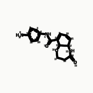 Nc1ccc(NC(=O)C2=CC=CC3NC(=O)CCOC23)cc1